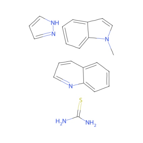 Cn1ccc2ccccc21.NC(N)=S.c1ccc2ncccc2c1.c1cn[nH]c1